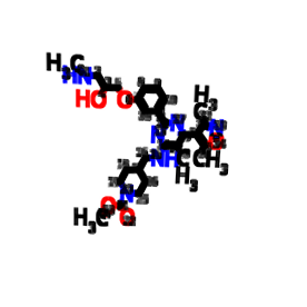 CNCC(O)COc1cccc(-c2nc(NCC3CCN(C(=O)OC)CC3)c(C)c(-c3c(C)noc3C)n2)c1